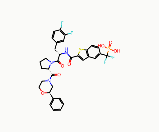 O=C(N[C@@H](Cc1ccc(F)c(F)c1)C(=O)N1CCC[C@H]1C(=O)N1CCO[C@H](c2ccccc2)C1)c1cc2cc(C(F)(F)P(=O)(O)O)ccc2s1